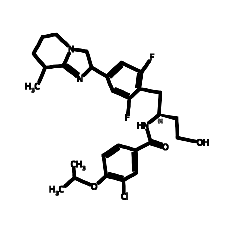 CC(C)Oc1ccc(C(=O)N[C@H](CCO)Cc2c(F)cc(C3CN4CCCC(C)C4=N3)cc2F)cc1Cl